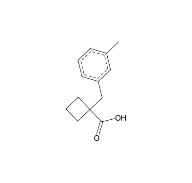 Cc1cccc(CC2(C(=O)O)CCC2)c1